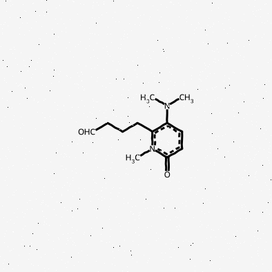 CN(C)c1ccc(=O)n(C)c1CCCC=O